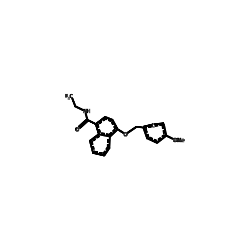 COc1ccc(COc2ccc(C(=O)NCC(F)(F)F)c3ccccc23)cc1